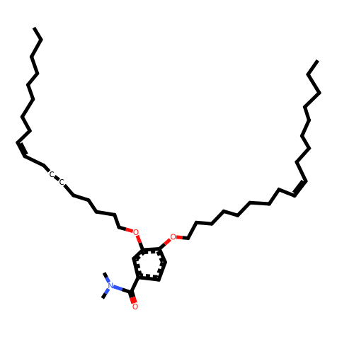 CCCCCCCC/C=C\CCCCCCCCOc1ccc(C(=O)N(C)C)cc1OCCCCCCCC/C=C\CCCCCCCC